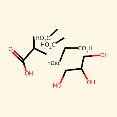 CC(=O)O.CC(=O)O.CC(C)C(=O)O.CCCCCCCCCCCC(=O)O.OCC(O)CO